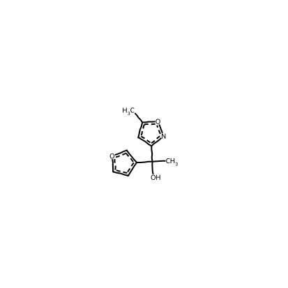 Cc1cc(C(C)(O)c2ccoc2)no1